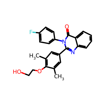 Cc1cc(-c2nc3ccccc3c(=O)n2-c2ccc(F)cc2)cc(C)c1OCCO